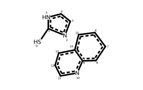 Sc1ncc[nH]1.c1ccc2ncccc2c1